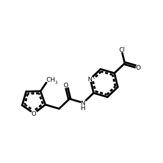 Cc1ccoc1CC(=O)Nc1ccc(C(=O)Cl)cn1